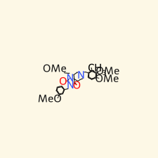 COCCN1C(=O)N(Cc2cccc(OC)c2)C(=O)C12CCN(Cc1ccc(OC)c(OC)c1C)CC2